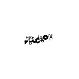 COC(=CC1CCN(S(=O)(=O)c2ccc(OC(F)(F)F)cc2)C(I)C1)C(=O)NC1CC1